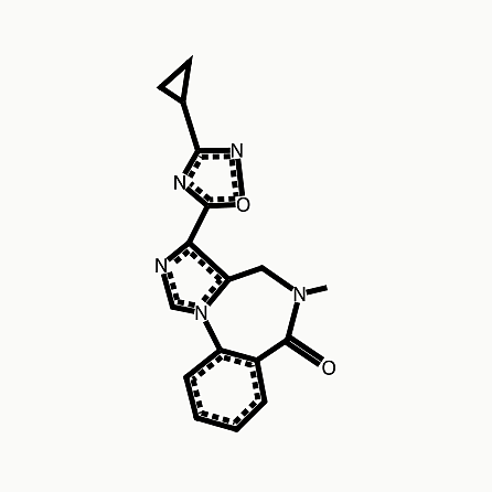 CN1Cc2c(-c3nc(C4CC4)no3)ncn2-c2ccccc2C1=O